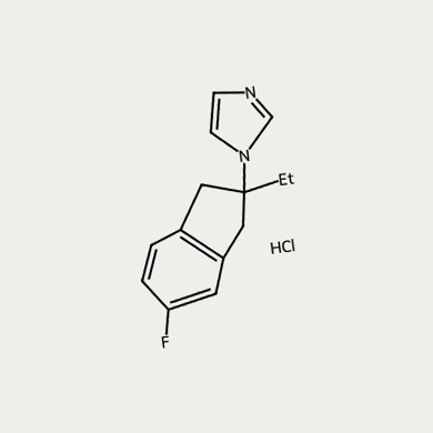 CCC1(n2ccnc2)Cc2ccc(F)cc2C1.Cl